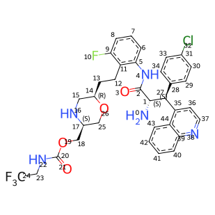 N[C@H](C(=O)Nc1cccc(F)c1CC[C@@H]1CN[C@H](COC(=O)NCC(F)(F)F)CO1)[C@@H](c1ccc(Cl)cc1)c1ccnc2ccccc12